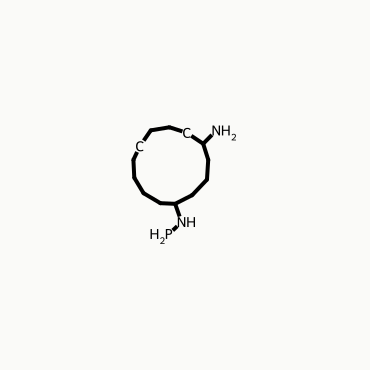 NC1CCCCCCCCC(NP)CCC1